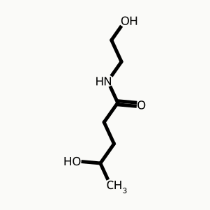 CC(O)CCC(=O)NCCO